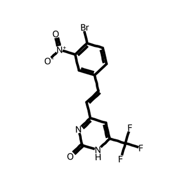 O=c1nc(C=Cc2ccc(Br)c([N+](=O)[O-])c2)cc(C(F)(F)F)[nH]1